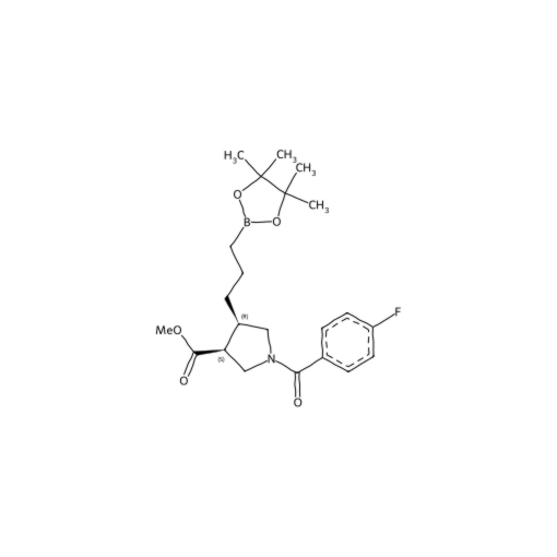 COC(=O)[C@@H]1CN(C(=O)c2ccc(F)cc2)C[C@@H]1CCCB1OC(C)(C)C(C)(C)O1